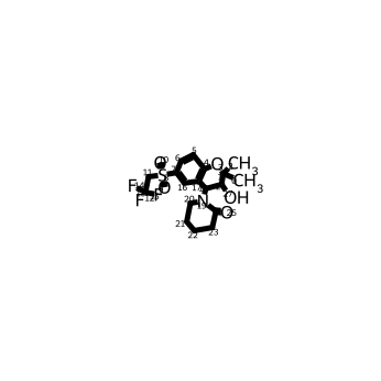 CC1(C)Oc2ccc(S(=O)(=O)CC(F)(F)F)cc2C(N2CCCCC2=O)C1O